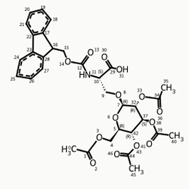 CC(=O)OC[C@H]1O[C@@H](OC[C@H](NC(=O)OCC2c3ccccc3-c3ccccc32)C(=O)O)[C@H](OC(C)=O)[C@@H](OC(C)=O)[C@@H]1OC(C)=O